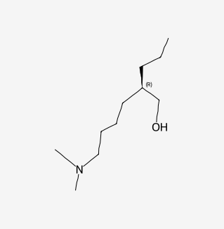 CCC[C@@H](CO)CCCCN(C)C